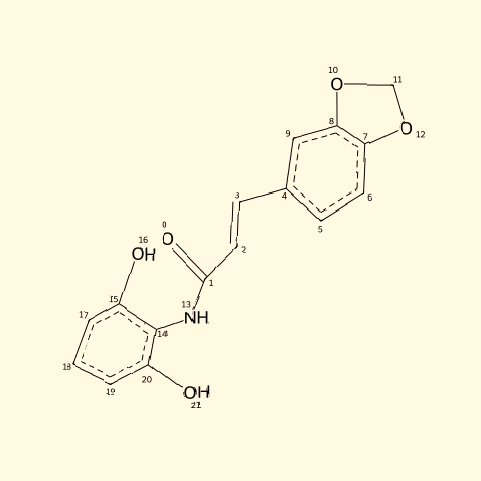 O=C(/C=C/c1ccc2c(c1)OCO2)Nc1c(O)cccc1O